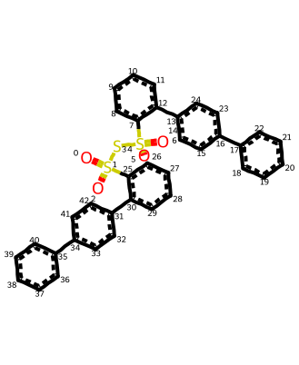 O=S(=O)(SS(=O)(=O)c1ccccc1-c1ccc(-c2ccccc2)cc1)c1ccccc1-c1ccc(-c2ccccc2)cc1